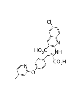 Cc1ccnc(Oc2ccc(C[C@H](Nc3nc4ccc(Cl)cc4cc3C(=O)O)C(=O)O)cc2)c1